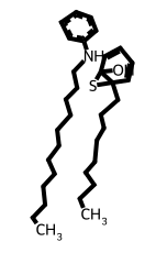 CCCCCCCCCC12C=CC=CC1(O)S2.CCCCCCCCCCCCNc1ccccc1